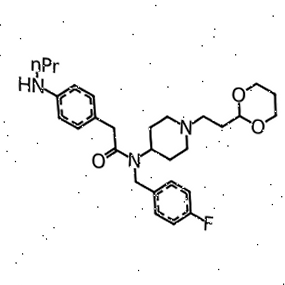 CCCNc1ccc(CC(=O)N(Cc2ccc(F)cc2)C2CCN(CCC3OCCCO3)CC2)cc1